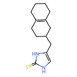 S=c1[nH]cc(CC2CCC3=C(CCCC3)C2)[nH]1